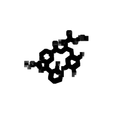 CC(C)(C)OC(=O)NC(CC(=O)N1CCn2c(C(F)(F)F)nc(-c3cccnc3F)c2C1)Cc1cc(F)c(F)cc1F